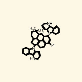 CC(C)C1=CC(N2C3CCCC=C3C3NCC=CC32)C2CC3C4C5=C(CCC1=C52)C(N1C2=C(NCC=C2)C2=CCCCC21)CC4CCC3(C)C